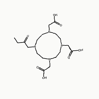 CCC(=O)CN1CCN(CC(=O)O)CCN(CC(=O)O)CCN(CC(=O)O)CC1